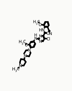 COc1cc(Nc2ncc(Cl)c(C(=O)Nc3c(C#N)cccc3OC)n2)ccc1N1CCN(C2CCN(C)CC2)CC1